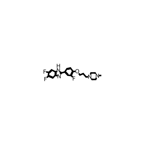 CN1CCN(CCCOc2ccc(-c3nc4cc(F)c(F)cc4[nH]3)cc2F)CC1